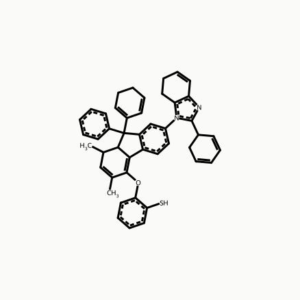 CC1=CC(C)C2C(=C1Oc1ccccc1S)c1ccc(-n3c(C4C=CC=CC4)nc4c3CCC=C4)cc1C2(C1=CCCC=C1)c1ccccc1